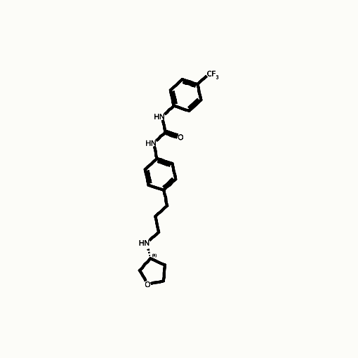 O=C(Nc1ccc(CCCN[C@@H]2CCOC2)cc1)Nc1ccc(C(F)(F)F)cc1